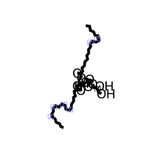 CCCCC/C=C\C/C=C\C/C=C\C/C=C\CCCCCC(=O)O[C@H](COC(=O)CCCCCCCCC/C=C\C/C=C\CCCCC)COP(=O)(O)OC[C@@H](O)CO